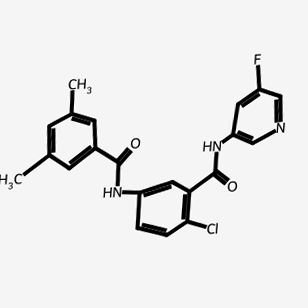 Cc1cc(C)cc(C(=O)Nc2ccc(Cl)c(C(=O)Nc3cncc(F)c3)c2)c1